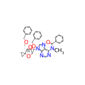 CN(C(=O)c1ccccc1)c1ncnc2c1ncn2C1O[C@@]2(COCc3ccccc3)C(OCc3ccccc3)C1OC21CC1